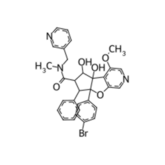 COc1cncc2c1C1(O)C(O)C(C(=O)N(C)Cc3cccnc3)C(c3ccccc3)C1(c1ccc(Br)cc1)O2